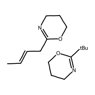 CC(C)(C)C1=NCCCO1.CC=CCC1=NCCCO1